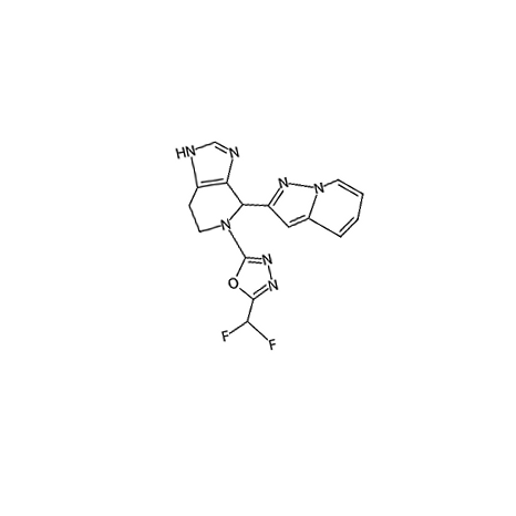 FC(F)c1nnc(N2CCc3[nH]cnc3C2c2cc3ccccn3n2)o1